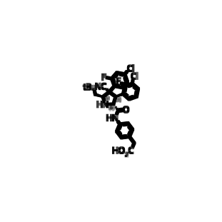 CC(C)(C)C[C@@H]1N[C@@H](C(=O)Nc2ccc(CC(=O)O)cc2)[C@H](c2cccc(Cl)c2F)[C@@]1(C#N)c1ccc(Cl)cc1F